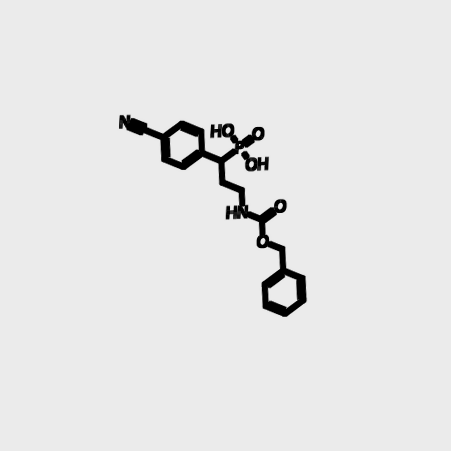 N#Cc1ccc(C(CCNC(=O)OCc2ccccc2)P(=O)(O)O)cc1